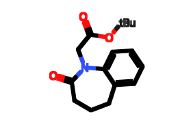 CC(C)(C)OC(=O)CN1C(=O)CCCc2ccccc21